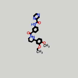 CCOc1cc(C2=NN(C(=O)c3cccc(NC(=O)c4cnccn4)c3)CCC2)ccc1OC